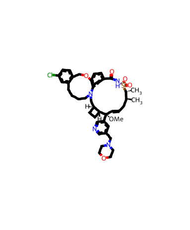 CO[C@@]1(c2cncc(CN3CCOCC3)c2)/C=C/C[C@H](C)[C@@H](C)S(=O)(=O)NC(=O)c2ccc3c(c2)N(CCCCc2cc(Cl)ccc2CO3)C[C@@H]2CC[C@H]21